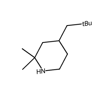 CC(C)(C)CC1CCNC(C)(C)C1